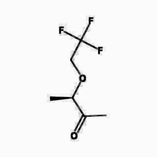 CC(=O)[C@@H](C)OCC(F)(F)F